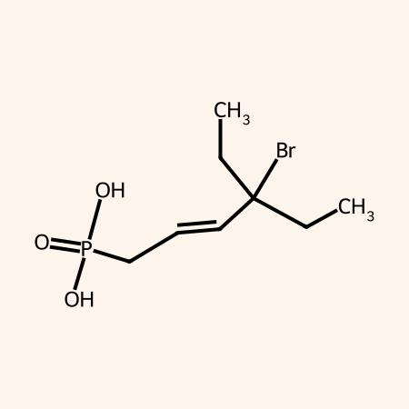 CCC(Br)(C=CCP(=O)(O)O)CC